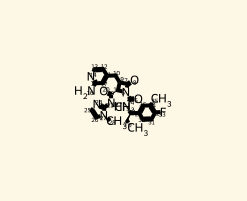 CC[C@@H](NC(=O)N1C(=O)C(Cc2ccnc(N)c2)[C@H]1C(=O)N(C)c1nccn1C)c1ccc(F)c(C)c1